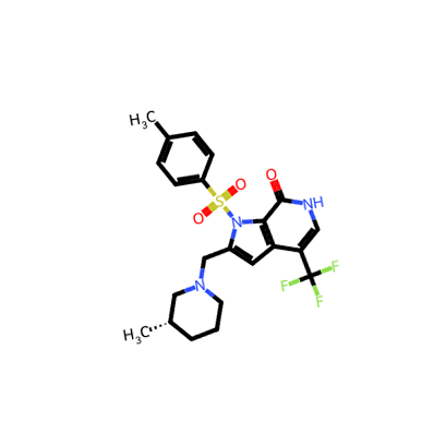 Cc1ccc(S(=O)(=O)n2c(CN3CCC[C@H](C)C3)cc3c(C(F)(F)F)c[nH]c(=O)c32)cc1